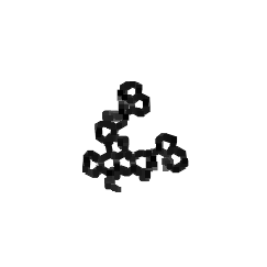 COC(=O)c1ccccc1-c1c2ccc(=O)c(CNc3cccc4cccnc34)c-2oc2c(CNc3cccc4cccnc34)c(O)ccc12